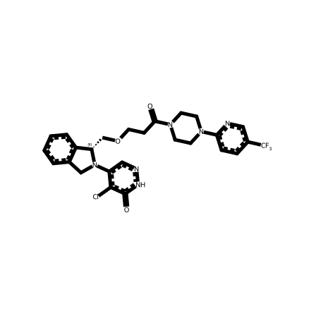 O=C(CCOC[C@H]1c2ccccc2CN1c1cn[nH]c(=O)c1Cl)N1CCN(c2ccc(C(F)(F)F)cn2)CC1